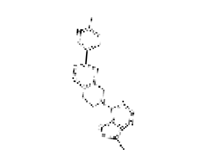 Cc1ccc(-c2cnc3c(c2)CN(c2ncnc4c(C)csc24)CC3)cn1